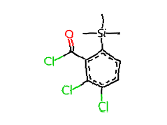 C[Si](C)(C)c1ccc(Cl)c(Cl)c1C(=O)Cl